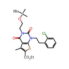 CCOC(=O)c1sc2c(c1C)c(=O)n(CCO[Si](C)(C)C(C)(C)C)c(=O)n2CCc1ccccc1Cl